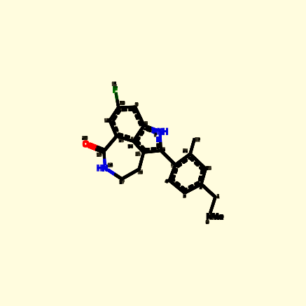 CNCc1ccc(-c2[nH]c3cc(F)cc4c3c2CCNC4=O)c(C)c1